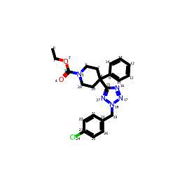 CCOC(=O)N1CCC(c2ccccc2)(c2nnn(Cc3ccc(Cl)cc3)n2)CC1